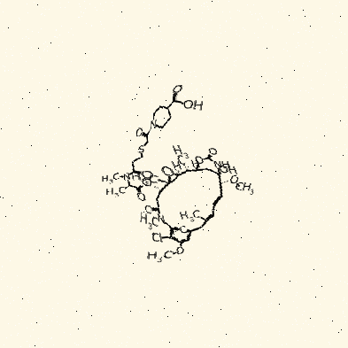 COc1cc2cc(c1Cl)N(C)C(=O)C[C@H](OC(=O)[C@@H](C)N(C)C(=O)CCSCC(=O)N1CCC(C(=O)O)CC1)[C@]1(C)O[C@H]1[C@H](C)[C@@H]1C[C@@](O)(NC(=O)O1)[C@H](OC)/C=C/C=C(\C)C2